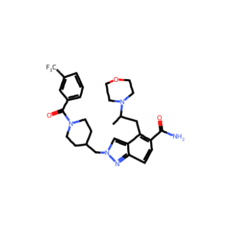 CC(Cc1c(C(N)=O)ccc2nn(CC3CCN(C(=O)c4cccc(C(F)(F)F)c4)CC3)cc12)N1CCOCC1